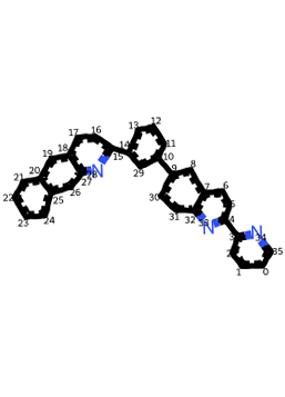 c1ccc(-c2ccc3cc(-c4cccc(-c5ccc6cc7ccccc7cc6n5)c4)ccc3n2)nc1